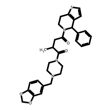 CC(CC(=O)N1CCc2sccc2C1c1ccccc1)C(=O)N1CCN(Cc2ccc3c(c2)OCO3)CC1